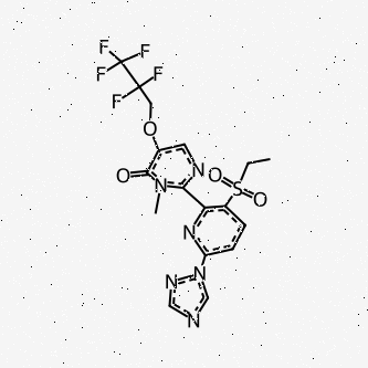 CCS(=O)(=O)c1ccc(-n2cncn2)nc1-c1ncc(OCC(F)(F)C(F)(F)F)c(=O)n1C